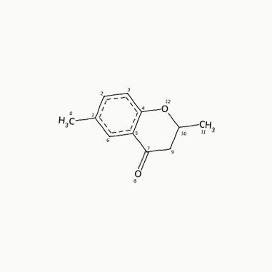 Cc1ccc2c(c1)C(=O)CC(C)O2